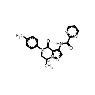 C[C@H]1CN(c2ccc(C(F)(F)F)cc2)C(=O)c2c(NC(=O)c3ncccn3)cnn21